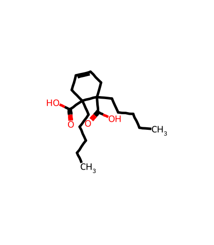 CCCCCC1(C(=O)O)CC=CCC1(CCCCC)C(=O)O